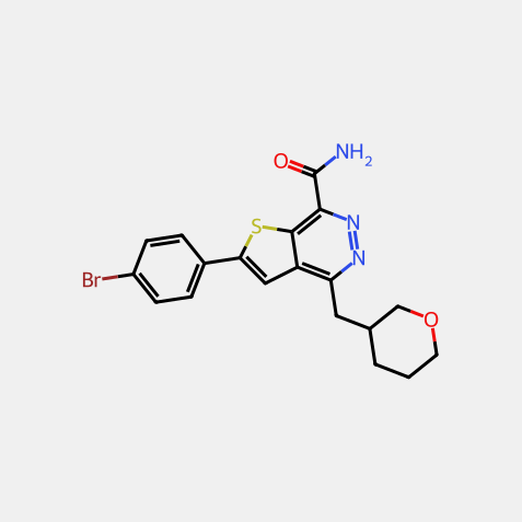 NC(=O)c1nnc(CC2CCCOC2)c2cc(-c3ccc(Br)cc3)sc12